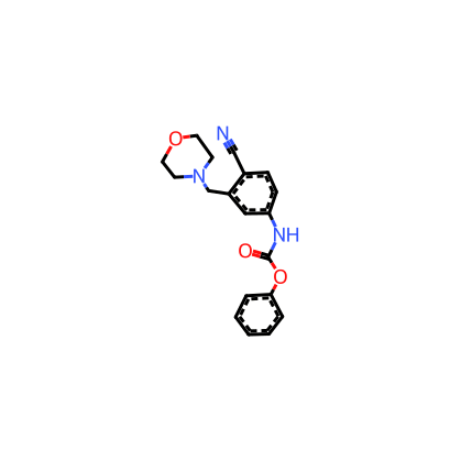 N#Cc1ccc(NC(=O)Oc2ccccc2)cc1CN1CCOCC1